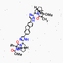 COC(=O)N[C@H](C(=O)N1[C@H](c2ncc(-c3ccc4c(c3)Cc3cc(-c5cnc([C@@H]6C[C@H]7CCC[C@H]7N6C(=O)[C@H](C)[C@H](C)OC)[nH]5)ccc3-4)[nH]2)C[C@@H]2CCC[C@@H]21)C(C)C